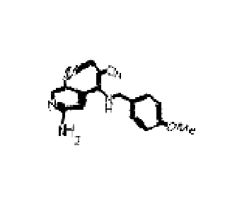 COc1ccc(CNc2c(C#N)cnc3cnc(N)cc23)cc1